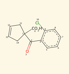 O=C(O)C1(C(=O)c2ccccc2Cl)CC=CC1